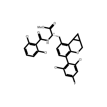 COC(=O)[C@H](Cc1ccc(-c2c(Cl)cc(F)cc2Cl)c2c1C1CC1CO2)NC(=O)c1c(Cl)cccc1Cl